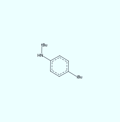 CCC(C)c1ccc(NC(C)(C)C)cc1